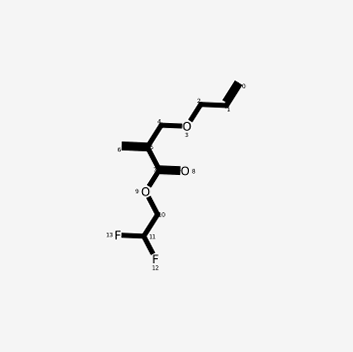 C=CCOCC(=C)C(=O)OCC(F)F